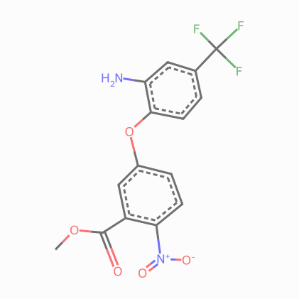 COC(=O)c1cc(Oc2ccc(C(F)(F)F)cc2N)ccc1[N+](=O)[O-]